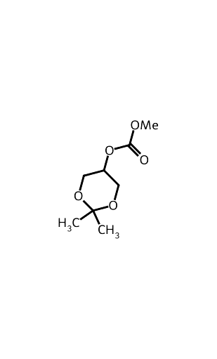 COC(=O)OC1COC(C)(C)OC1